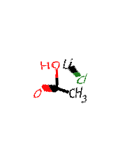 CC(=O)O.[Li][Cl]